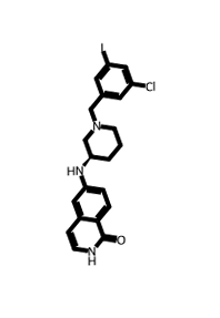 O=c1[nH]ccc2cc(N[C@@H]3CCCN(Cc4cc(Cl)cc(I)c4)C3)ccc12